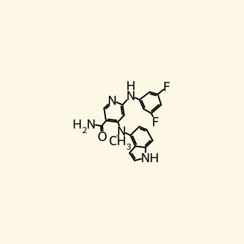 CN(c1cc(Nc2cc(F)cc(F)c2)ncc1C(N)=O)c1cccc2[nH]ccc12